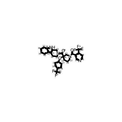 O=C(c1cnccc1C(F)(F)F)N1CCCC(Oc2ccc(C(F)(F)F)cc2)(C(=O)N2CCc3c([nH]c4ccccc34)C2)C1